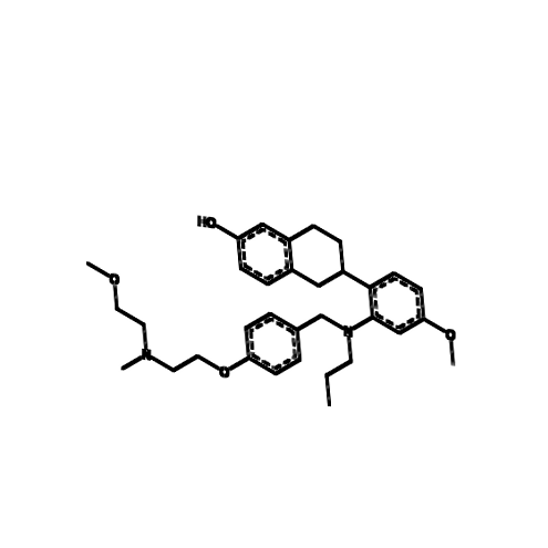 CCCN(Cc1ccc(OCCN(C)CCOC)cc1)c1cc(OC)ccc1C1CCc2cc(O)ccc2C1